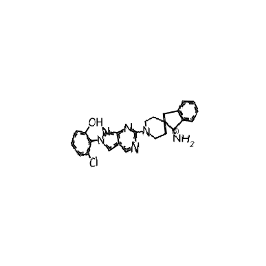 N[C@@H]1c2ccccc2CC12CCN(c1ncc3cn(-c4c(O)cccc4Cl)nc3n1)CC2